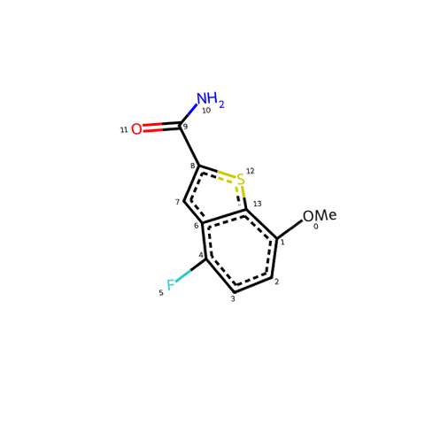 COc1ccc(F)c2cc(C(N)=O)sc12